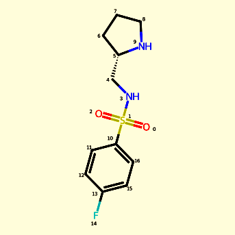 O=S(=O)(NC[C@@H]1CCCN1)c1ccc(F)cc1